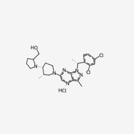 Cc1nn([C@H](C)c2ccc(Cl)cc2Cl)c2nc(N3CC[C@@H](N4CCCC4CO)[C@@H](C)C3)cnc12.Cl